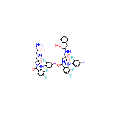 NCC(O)CNCC1(O)CN(C(=O)c2ccc(F)c(F)c2Nc2ccc(I)cc2F)C1.O=C(c1ccc(F)c(F)c1Nc1ccc(I)cc1F)N1CC(O)(CNC(CO)Cc2ccccc2)C1